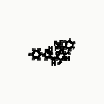 CC(NC(=O)Cc1ccccc1OC(F)(F)F)C(=O)Nc1cc(-c2ccccc2)n[nH]1